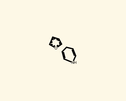 C1=CNC=CC1.c1ccoc1